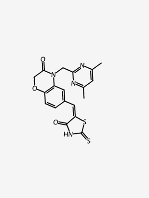 Cc1cc(C)nc(CN2C(=O)COc3ccc(C=C4SC(=S)NC4=O)cc32)n1